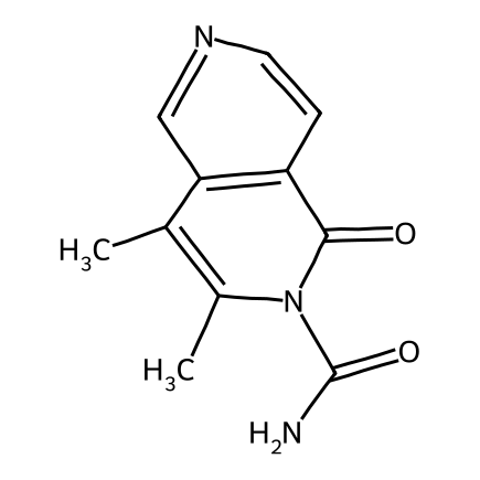 Cc1c(C)n(C(N)=O)c(=O)c2ccncc12